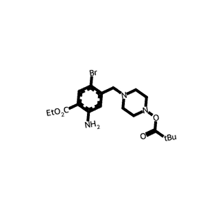 CCOC(=O)c1cc(Br)c(CN2CCN(OC(=O)C(C)(C)C)CC2)cc1N